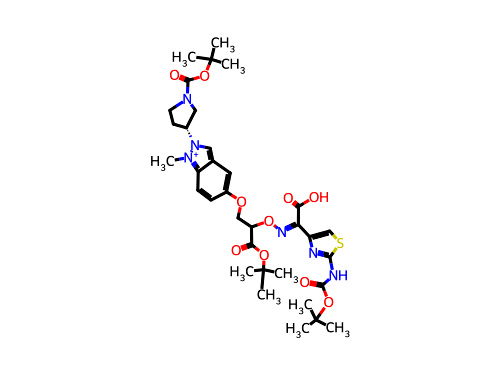 C[n+]1c2ccc(OCC(O/N=C(\C(=O)O)c3csc(NC(=O)OC(C)(C)C)n3)C(=O)OC(C)(C)C)cc2cn1[C@@H]1CCN(C(=O)OC(C)(C)C)C1